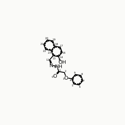 O=C(COc1ccccc1)N/N=C\c1c(O)ccc2ccccc12